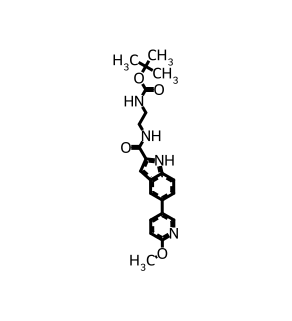 COc1ccc(-c2ccc3[nH]c(C(=O)NCCNC(=O)OC(C)(C)C)cc3c2)cn1